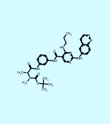 CCCNc1nc(Nc2ccc3nnccc3c2)ncc1C(=O)Nc1cccc(NC(=O)[C@H](C)N(C)C(=O)OC(C)(C)C)c1